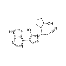 N#CCC(C1CCCC1O)n1ncc(-c2ncnc3[nH]ccc23)c1O